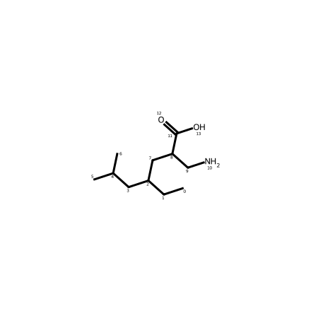 CCC(CC(C)C)CC(CN)C(=O)O